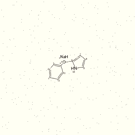 [NaH].c1ccc(Oc2ccc[nH]2)cc1